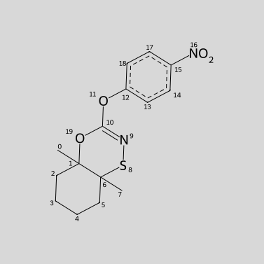 CC12CCCCC1(C)SN=C(Oc1ccc([N+](=O)[O-])cc1)O2